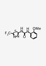 COc1ccccc1NC(=O)Nc1nnc(C(F)(F)F)s1